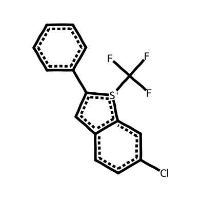 FC(F)(F)[s+]1c(-c2ccccc2)cc2ccc(Cl)cc21